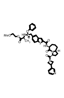 COCCOC(=O)[C@H](C)NP(=O)(Cc1ccc2sc(C(=O)N[C@H]3CCC[C@H]4CC[C@@H](C(=O)N5CC(c6cccnc6)C5)N4C3=O)cc2c1)Oc1ccccc1